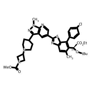 CCOC(=O)[C@@H](OC(C)(C)C)c1c(C)cc2nc(-c3cnc4c(c3)c(C3CCN(C5CN(C(=O)OC)C5)CC3)nn4C)sc2c1-c1ccc(Cl)cc1